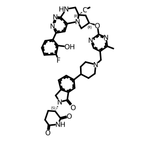 CC[C@@]12CNc3nnc(-c4cccc(F)c4O)cc3N1C[C@H](Oc1ncc(CN3CCC(c4ccc5c(c4)C(=O)N([C@H]4CCC(=O)NC4=O)C5)CC3)c(C)n1)C2